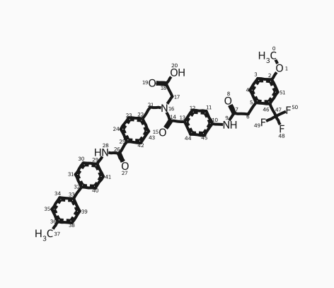 COc1ccc(CC(=O)Nc2ccc(C(=O)N(CC(=O)O)Cc3ccc(C(=O)Nc4ccc(-c5ccc(C)cc5)cc4)cc3)cc2)c(C(F)(F)F)c1